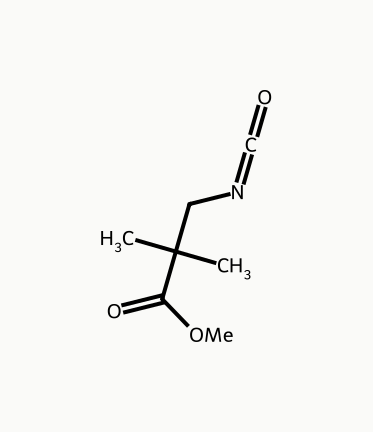 COC(=O)C(C)(C)CN=C=O